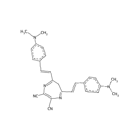 CN(C)c1ccc(/C=C/C2=NC(C#N)=C(C#N)N=C(/C=C/c3ccc(N(C)C)cc3)C2)cc1